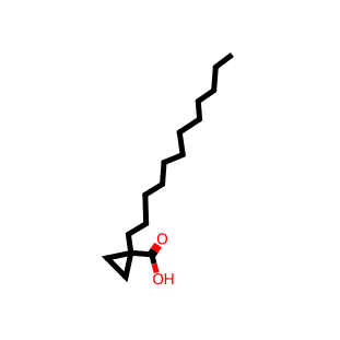 CCCCCCCCCCCCC1(C(=O)O)CC1